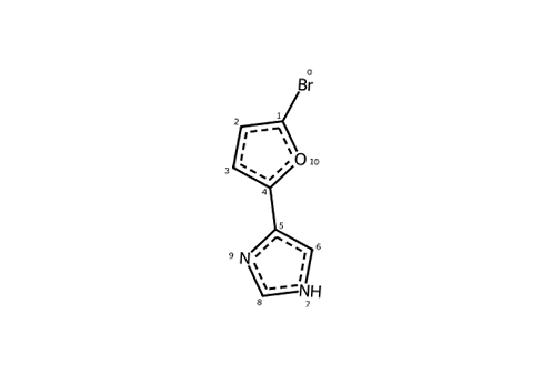 Brc1ccc(-c2c[nH]cn2)o1